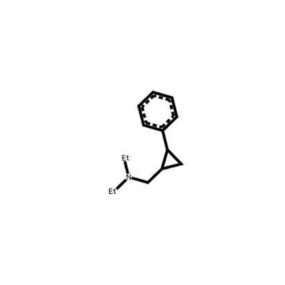 CCN(CC)CC1CC1c1ccccc1